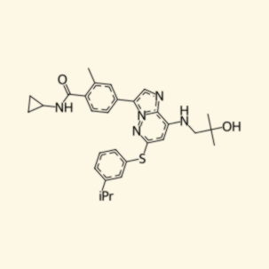 Cc1cc(-c2cnc3c(NCC(C)(C)O)cc(Sc4cccc(C(C)C)c4)nn23)ccc1C(=O)NC1CC1